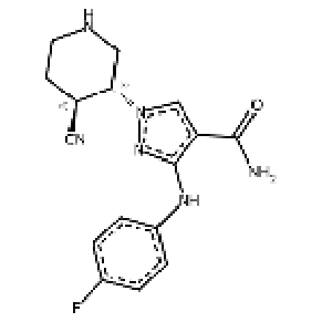 N#C[C@H]1CCNC[C@@H]1n1cc(C(N)=O)c(Nc2ccc(F)cc2)n1